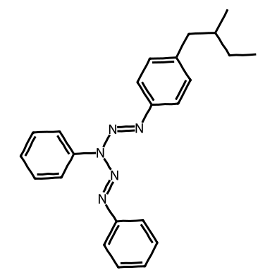 CCC(C)Cc1ccc(N=NN(N=Nc2ccccc2)c2ccccc2)cc1